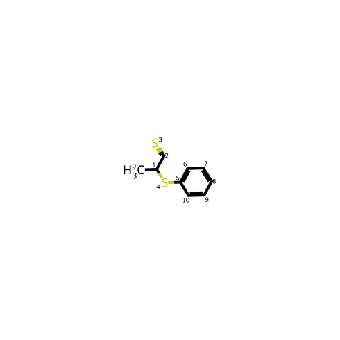 CC([C]=S)Sc1ccccc1